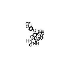 CC(C)(C)OC(=O)N1CCC12CN(C1(c3ccc(Oc4ccc(OC(F)(F)F)cc4)cc3)C(=O)NC(=O)NC1=O)C2